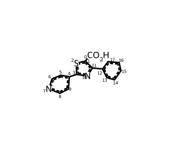 O=C(O)c1sc(-c2ccncc2)nc1-c1ccccc1